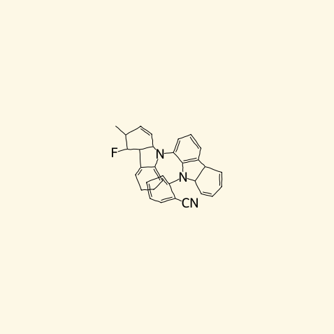 CC1C=CC2C(C3=CCCC=C3N2c2cccc3c2N(c2ccccc2C#N)C2C=CC=CC32)C1F